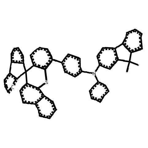 CC1(C)c2ccccc2-c2ccc(N(c3ccccc3)c3ccc(-c4cccc5c4Sc4c(ccc6ccccc46)C54c5ccccc5-c5ccccc54)cc3)cc21